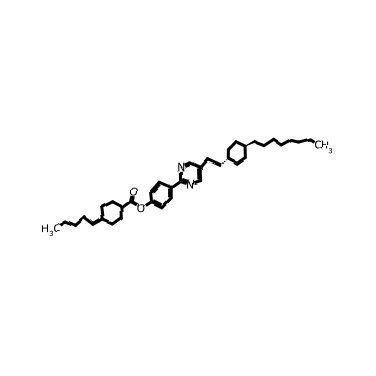 CCCCCCCC[C@H]1CC[C@H](CCc2cnc(-c3ccc(OC(=O)C4CCC(CCCCC)CC4)cc3)nc2)CC1